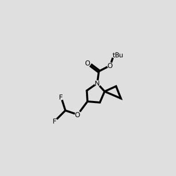 CC(C)(C)OC(=O)N1CC(OC(F)F)CC12CC2